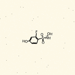 O=S(=O)(NO)c1ccc(O)cc1F